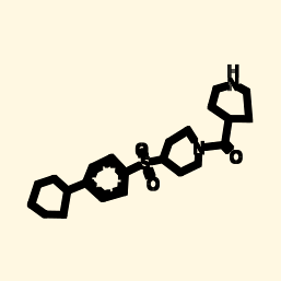 O=C(C1CCNCC1)N1CCC(S(=O)(=O)c2ccc(C3CCCCC3)cc2)CC1